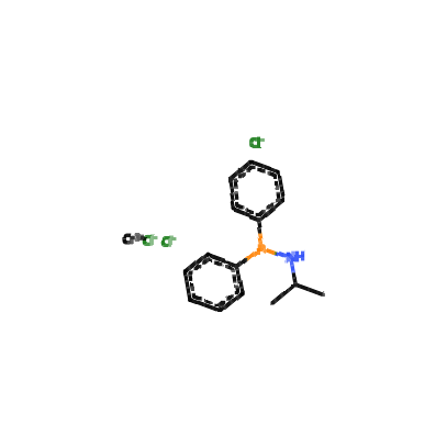 CC(C)NP(c1ccccc1)c1ccccc1.[Cl-].[Cl-].[Cl-].[Cr+3]